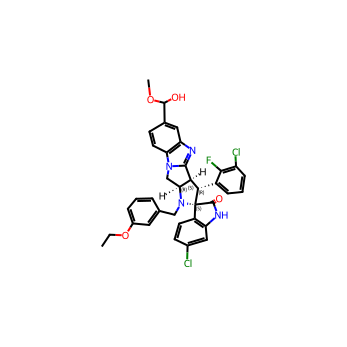 CCOc1cccc(CN2[C@H]3Cn4c(nc5cc(C(O)OC)ccc54)[C@H]3[C@H](c3cccc(Cl)c3F)[C@]23C(=O)Nc2cc(Cl)ccc23)c1